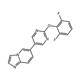 Fc1cccc(F)c1Oc1ncc(-c2ccc3nccn3c2)cn1